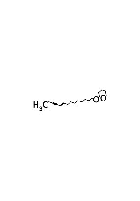 CCC#CC=CCCCCCCCCOC1CCCCO1